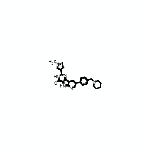 Cn1cc(-c2nc3c([nH]c4ncc(-c5ccc(CN6CCCCC6)cc5)cc43)c(=O)[nH]2)cn1